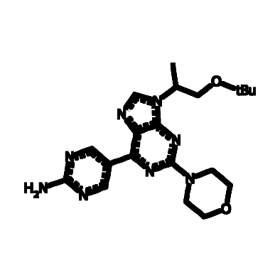 CC(COC(C)(C)C)n1cnc2c(-c3cnc(N)nc3)nc(N3CCOCC3)nc21